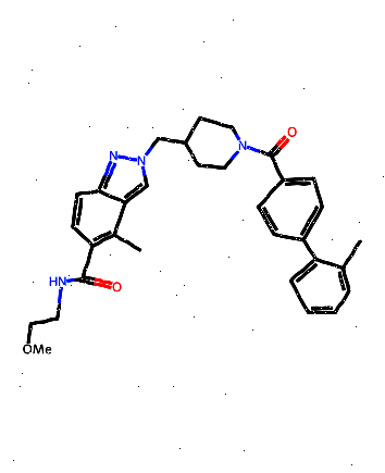 COCCNC(=O)c1ccc2nn(CC3CCN(C(=O)c4ccc(-c5ccccc5C)cc4)CC3)cc2c1C